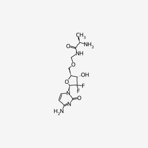 C[C@@H](N)C(=O)NCOC[C@@H]1O[C@H](n2ccc(N)nc2=O)C(F)(F)[C@H]1O